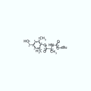 Cc1cc(CO)cc(C)c1OC(=O)C(C)NC(=O)OC(C)(C)C